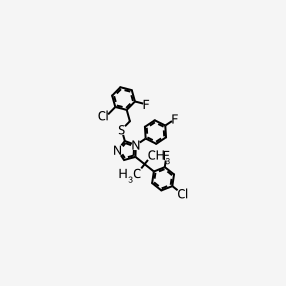 CC(C)(c1ccc(Cl)cc1F)c1cnc(SCc2c(F)cccc2Cl)n1-c1ccc(F)cc1